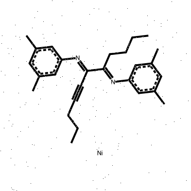 CCCC#CC(=N\c1cc(C)cc(C)c1)/C(CCCC)=N/c1cc(C)cc(C)c1.[Ni]